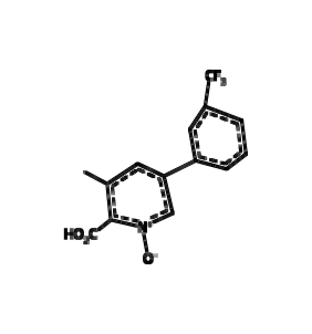 Cc1cc(-c2cccc(C(F)(F)F)c2)c[n+]([O-])c1C(=O)O